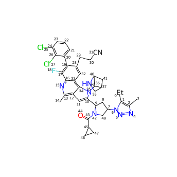 CCc1c(C)nnn1C1CC(c2cc3c(C)nc4c(F)c(-c5cccc(Cl)c5Cl)c(CCC#N)cc4c3n2C2C3CNC2C3)N(C(=O)C2CC2)C1